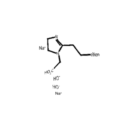 CCCCCCCCCCCC1=NCCN1CC(=O)O.[Na+].[Na+].[OH-].[OH-]